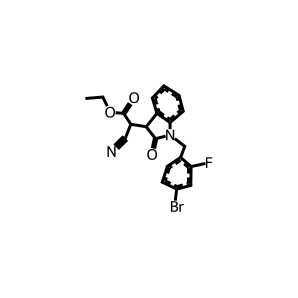 CCOC(=O)C(C#N)C1C(=O)N(Cc2ccc(Br)cc2F)c2ccccc21